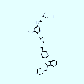 CCC(CC)NC(=O)Nc1ccc(Oc2cnc(NC(=O)c3ccc(-n4cc(CN5CCC(O)CC5)c5ccccc54)cc3)s2)c(OC)c1